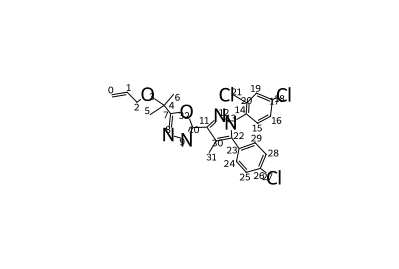 C=CCOC(C)(C)c1nnc(-c2nn(-c3ccc(Cl)cc3Cl)c(-c3ccc(Cl)cc3)c2C)o1